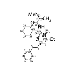 CC[C@@H](CSCCc1ccccc1)N(CC)C(=O)[C@@H](NC(=O)[C@H](C)NC)C1CCCCC1